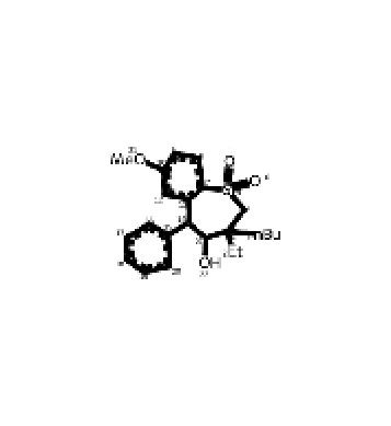 CCCCC1(CC)CS(=O)(=O)c2ccc(OC)cc2C(c2ccccc2)C1O